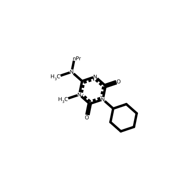 CCCN(C)c1nc(=O)n(C2CCCCC2)c(=O)n1C